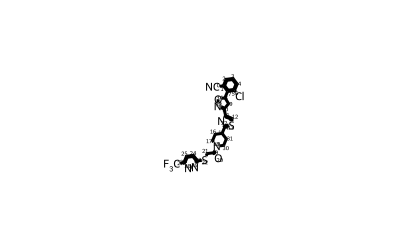 N#Cc1cccc(Cl)c1C1CC(c2csc(C3CCN(C(=O)CSc4ccc(C(F)(F)F)nn4)CC3)n2)=NO1